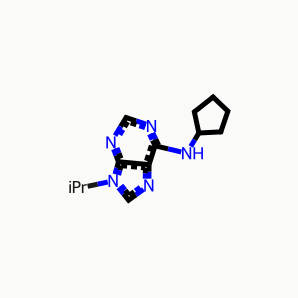 CC(C)n1cnc2c(NC3CCCC3)ncnc21